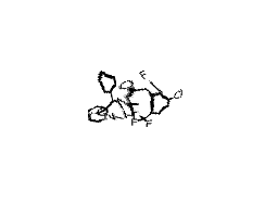 CN1CC2CCC1(C(NC(=O)c1c(C(F)(F)F)ccc(Cl)c1F)c1ccccc1)CC2